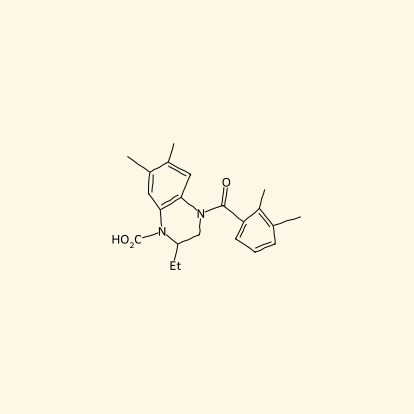 CCC1CN(C(=O)c2cccc(C)c2C)c2cc(C)c(C)cc2N1C(=O)O